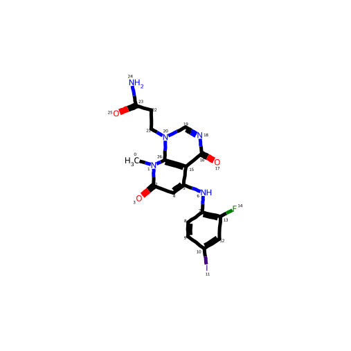 Cn1c(=O)cc(Nc2ccc(I)cc2F)c2c(=O)ncn(CCC(N)=O)c21